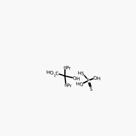 CCCC(O)(CCC)C(=O)O.OP(O)(=S)S